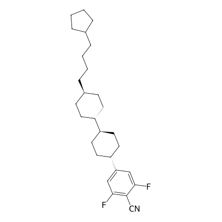 N#Cc1c(F)cc([C@H]2CC[C@H]([C@H]3CC[C@H](CCCCC4CCCC4)CC3)CC2)cc1F